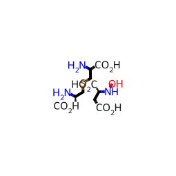 NC(CSC[C@H](N)C(=O)O)C(=O)O.O=C(O)C[C@H](NO)C(=O)O